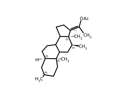 CC(=O)O/C(C)=C1\CCC2C3CC[C@@H]4C[C@H](C)CC[C@]4(C)C3C[C@H](C)[C@]12C